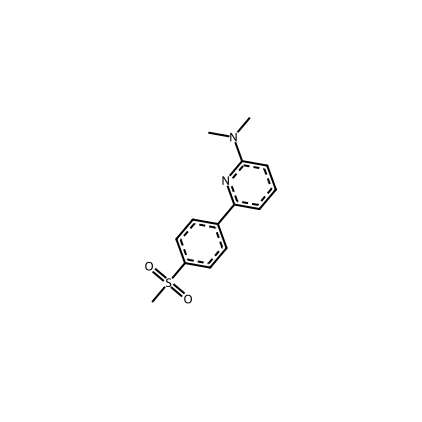 CN(C)c1cccc(-c2ccc(S(C)(=O)=O)cc2)n1